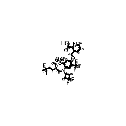 CN1[C@H](CCC(C)(F)F)CN(C2CC(F)(F)C2)c2cc(C(F)(F)F)c(OCc3cccnc3C(=O)O)cc2S1(=O)=O